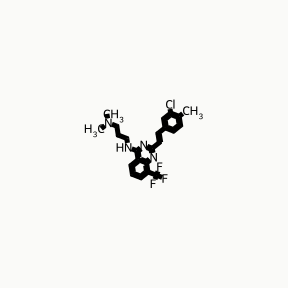 Cc1ccc(/C=C/c2nc(NCCCN(C)C)c3cccc(C(F)(F)F)c3n2)cc1Cl